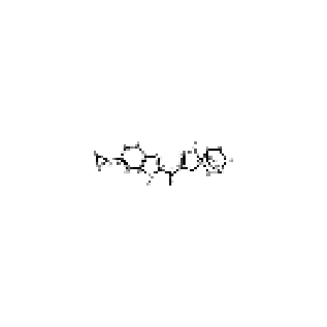 c1cc2nc(NC3=NOC4(C3)CN3CCC4CC3)sc2cc1C1CC1